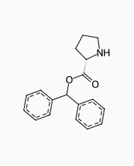 O=C(OC(c1ccccc1)c1ccccc1)[C@@H]1CCCN1